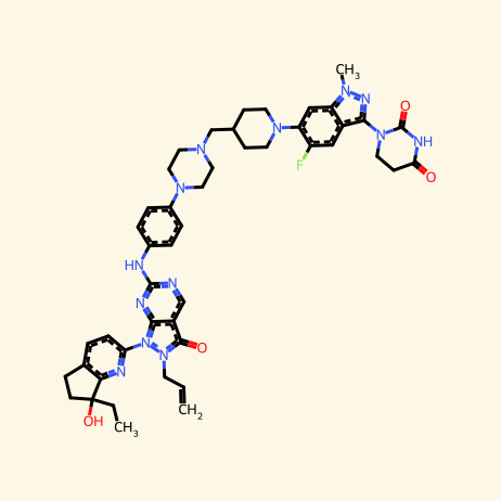 C=CCn1c(=O)c2cnc(Nc3ccc(N4CCN(CC5CCN(c6cc7c(cc6F)c(N6CCC(=O)NC6=O)nn7C)CC5)CC4)cc3)nc2n1-c1ccc2c(n1)C(O)(CC)CC2